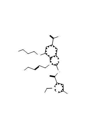 CCn1nc(C)cc1C(=O)Nc1nc2cc(C(N)=O)cc(OCCCO)c2n1C/C=C/CN